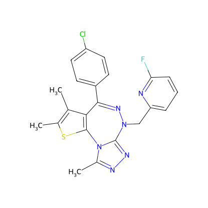 Cc1sc2c(c1C)C(c1ccc(Cl)cc1)=NN(Cc1cccc(F)n1)c1nnc(C)n1-2